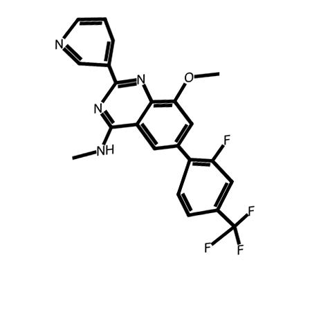 CNc1nc(-c2cccnc2)nc2c(OC)cc(-c3ccc(C(F)(F)F)cc3F)cc12